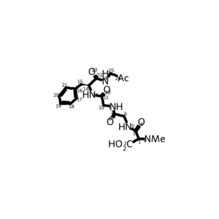 CNC(C(=O)O)C(=O)NCC(=O)NCC(=O)N[C@@H](Cc1ccccc1)C(=O)NCC(C)=O